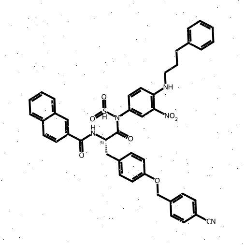 N#Cc1ccc(COc2ccc(C[C@H](NC(=O)c3ccc4ccccc4c3)C(=O)N(c3ccc(NCCCc4ccccc4)c([N+](=O)[O-])c3)[SH](=O)=O)cc2)cc1